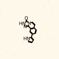 O=c1[nH]nc2c3cc(-c4ccc[nH]4)ccc3ccn12